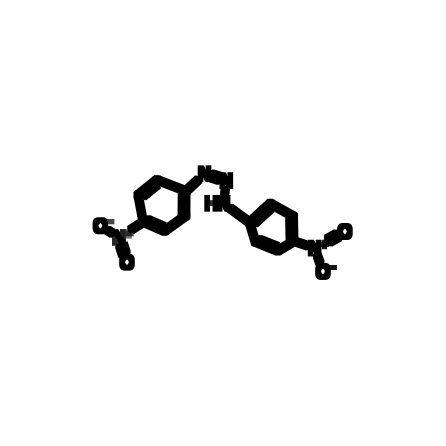 O=[N+]([O-])c1ccc(/N=N\Nc2ccc([N+](=O)[O-])cc2)cc1